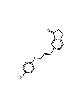 CCc1ccc(OCC=Cc2ccc3c(c2)C(=O)CC3)cc1